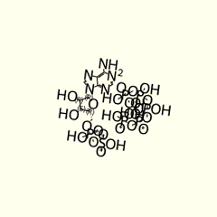 Nc1ncnc2c1ncn2[C@@H]1O[C@H](COP(=O)(O)OS(=O)(=O)O)[C@@H](O)[C@H]1O.O=P(O)(O)OP(=O)(O)OP(=O)(O)OP(=O)(O)OP(=O)(O)O